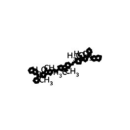 Cc1ccccc1N(c1ccc2c(c1)C(C)(C)c1cc(/C=C/c3ccc4c(c3)C(C)(C)c3cc(/C=C/c5ccc6c(c5)C(C)(C)c5cc(N(c7ccc8ccccc8c7)c7ccccc7C)ccc5-6)ccc3-4)ccc1-2)c1ccc2ccccc2c1